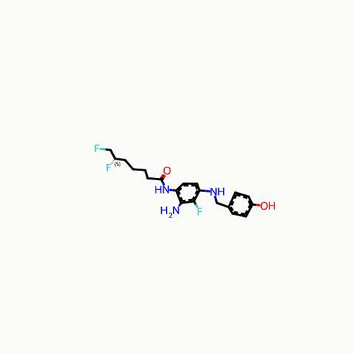 Nc1c(NC(=O)CCCC[C@H](F)CF)ccc(NCc2ccc(O)cc2)c1F